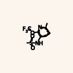 Cc1ccc(NS(C)(=O)=O)c(OC(F)(F)F)n1